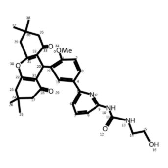 COc1ccc(-c2cccc(NC(=O)NCCO)n2)cc1C1C2=C(CC(C)(C)CC2=O)OC2=C1C(=O)CC(C)(C)C2